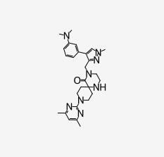 Cc1cc(C)nc(N2CCC3(CC2)NCCN(Cc2nn(C)cc2-c2cccc(N(C)C)c2)C3=O)n1